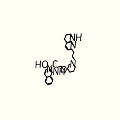 O=C(O)[C@H](CO[C@@H]1CCCN(CCCc2ccc3c(n2)NCCC3)C1)Nc1nccc2ccccc12